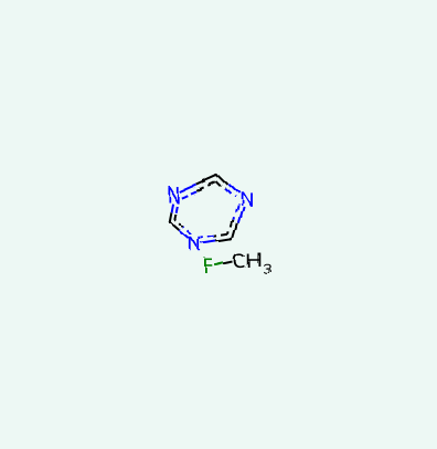 CF.c1ncncn1